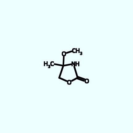 COC1(C)COC(=O)N1